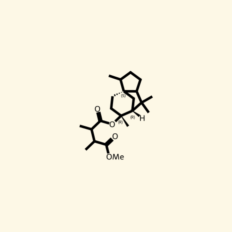 COC(=O)C(C)C(C)C(=O)O[C@]1(C)CC[C@@]23C[C@@H]1C(C)(C)C2CCC3C